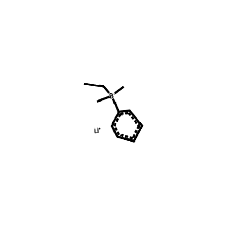 CC[B-](C)(C)c1ccccc1.[Li+]